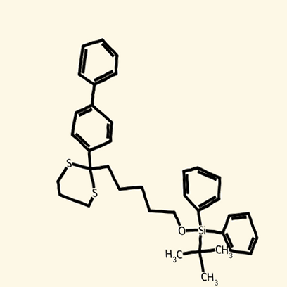 CC(C)(C)[Si](OCCCCCC1(c2ccc(-c3ccccc3)cc2)SCCCS1)(c1ccccc1)c1ccccc1